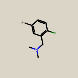 CCc1ccc(F)c(CN(C)C)c1